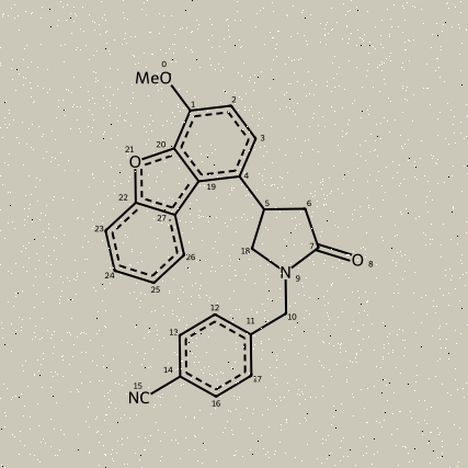 COc1ccc(C2CC(=O)N(Cc3ccc(C#N)cc3)C2)c2c1oc1ccccc12